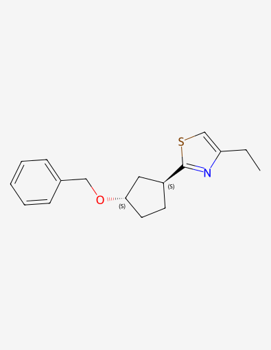 CCc1csc([C@H]2CC[C@H](OCc3ccccc3)C2)n1